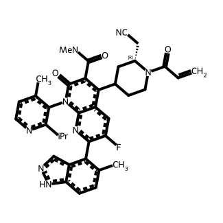 C=CC(=O)N1CCC(c2c(C(=O)NC)c(=O)n(-c3c(C)ccnc3C(C)C)c3nc(-c4c(C)ccc5[nH]ncc45)c(F)cc23)C[C@@H]1CC#N